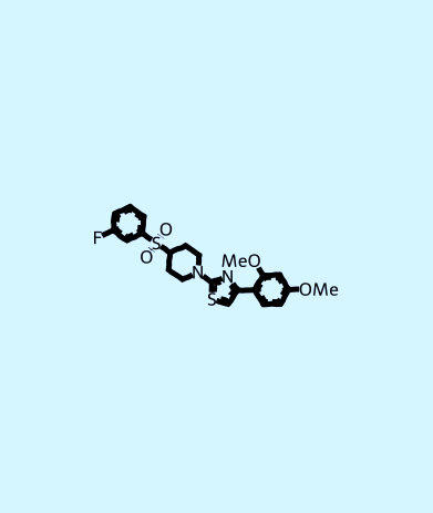 COc1ccc(-c2csc(N3CCC(S(=O)(=O)c4cccc(F)c4)CC3)n2)c(OC)c1